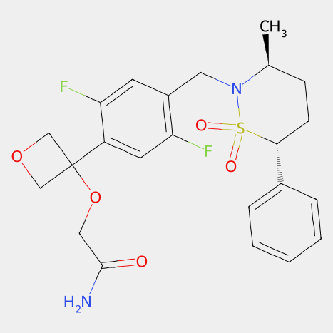 C[C@H]1CC[C@H](c2ccccc2)S(=O)(=O)N1Cc1cc(F)c(C2(OCC(N)=O)COC2)cc1F